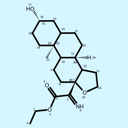 CCOC(=O)C(=N)[C@@]12CCC3[C@@H](CCC4C[C@@H](O)CC[C@@]43C)C1CCO2